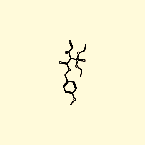 CCOP(=O)(OCC)C(NC=S)C(=O)OCc1ccc(OC)cc1